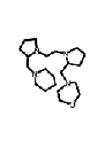 C1CCN(CC2CCCN2CCN2CCCC2CN2CCOCC2)CC1